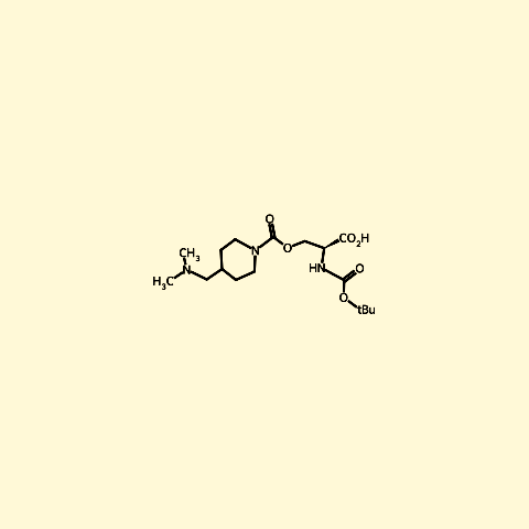 CN(C)CC1CCN(C(=O)OC[C@H](NC(=O)OC(C)(C)C)C(=O)O)CC1